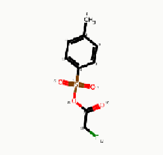 Cc1ccc(S(=O)(=O)OC(=O)CF)cc1